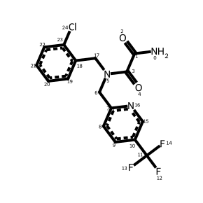 NC(=O)C(=O)N(Cc1ccc(C(F)(F)F)cn1)Cc1ccccc1Cl